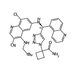 CC(C)(C)CNc1c(C#N)cnc2c(Cl)cc(N[C@H](c3cn(C4(C(N)=O)CCC4)nn3)c3cccc4ncccc34)cc12